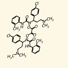 Cc1ccccc1NC(=O)N(OC(=O)C(=O)ON(C(=O)Nc1ccccc1C)C(CCN(C)C)c1ccc(Cl)cc1)C(CCN(C)C)c1ccc(Cl)cc1